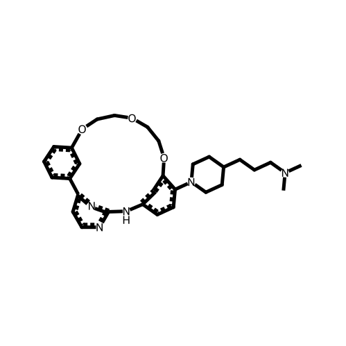 CN(C)CCCC1CCN(c2ccc3cc2OCCOCCOc2cccc(c2)-c2ccnc(n2)N3)CC1